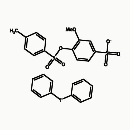 COc1cc(S(=O)(=O)[O-])ccc1OS(=O)(=O)c1ccc(C)cc1.c1ccc([I+]c2ccccc2)cc1